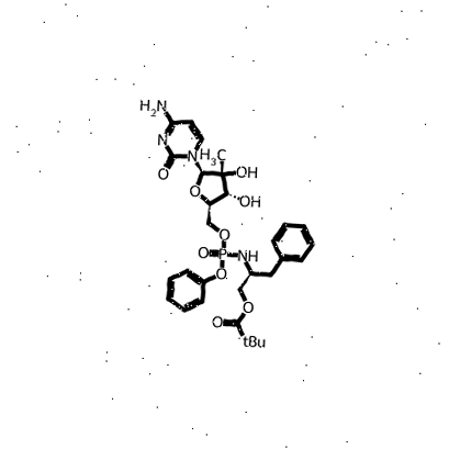 CC(C)(C)C(=O)OC[C@H](Cc1ccccc1)NP(=O)(OC[C@H]1O[C@@H](n2ccc(N)nc2=O)[C@](C)(O)[C@@H]1O)Oc1ccccc1